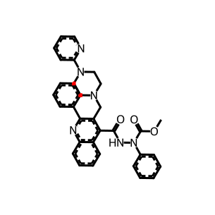 COC(=O)N(NC(=O)c1c(CN2CCN(c3ccccn3)CC2)c(-c2ccccc2)nc2ccccc12)c1ccccc1